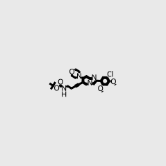 COc1cc(OC)c(-c2cn3cc(C#CCCNC(=O)OC(C)(C)C)c(N4CCOCC4)cc3n2)cc1Cl